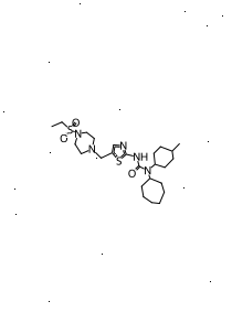 CCS(=O)(=O)N1CCN(Cc2cnc(NC(=O)N(C3CCCCCC3)C3CCC(C)CC3)s2)CC1